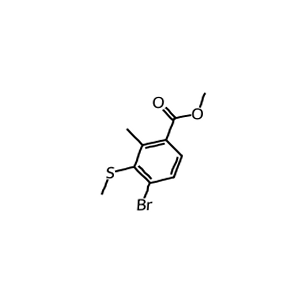 COC(=O)c1ccc(Br)c(SC)c1C